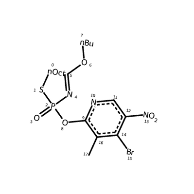 CCCCCCCCSP(=O)(N=COCCCC)Oc1ncc([N+](=O)[O-])c(Br)c1C